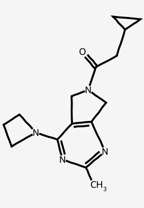 Cc1nc2c(c(N3CCC3)n1)CN(C(=O)CC1CC1)C2